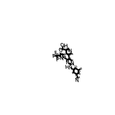 Cc1cc(C#N)cc(Nc2ncc(-c3cncc(C(=O)O)c3)c(-n3ccc(C(F)(F)F)n3)n2)c1